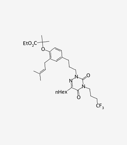 CCCCCCc1nn(CCCc2ccc(OC(C)(C)C(=O)OCC)c(CC=C(C)C)c2)c(=O)n(CCCC(F)(F)F)c1=O